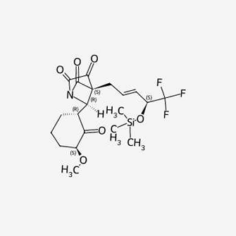 CO[C@H]1CCC[C@H]([C@H]2N3C(=O)C(=O)[C@@]2(CC=C[C@H](O[Si](C)(C)C)C(F)(F)F)C3=O)C1=O